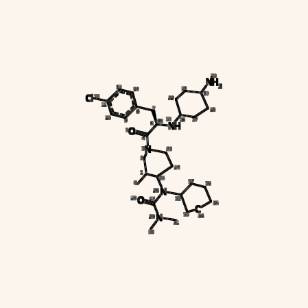 CC1CN(C(=O)[C@@H](Cc2ccc(Cl)cc2)NC2CCC(N)CC2)CCC1N(C(=O)N(C)C)C1CCCCC1